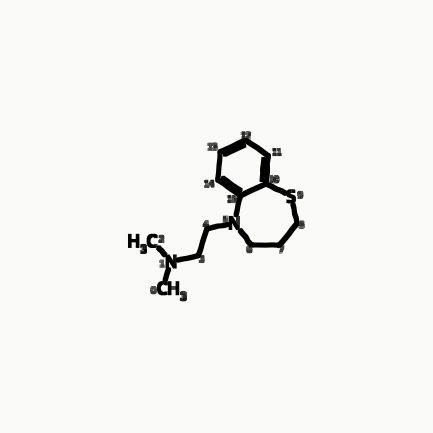 CN(C)CCN1CCCSc2ccccc21